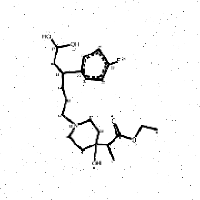 CCOC(=O)C(C)C1(O)CCN(CCCC(CC(O)O)c2ccc(F)cc2)CC1